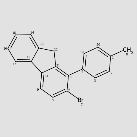 Cc1ccc(-c2c(Br)ccc3c2[CH]c2ccccc2-3)cc1